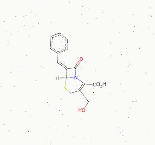 O=C(O)C1=C(CO)CS[C@H]2C(=Cc3ccccc3)C(=O)N12